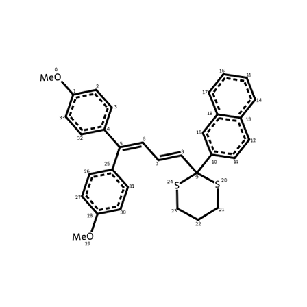 COc1ccc(C(=CC=CC2(c3ccc4ccccc4c3)SCCCS2)c2ccc(OC)cc2)cc1